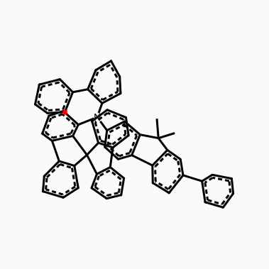 CC1(C)c2cc(-c3ccccc3)ccc2-c2ccc(N(c3ccccc3-c3ccccc3)c3cccc4c3C3(c5ccccc5-c5ccccc53)c3ccccc3-4)cc21